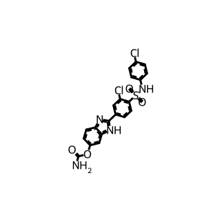 NC(=O)Oc1ccc2nc(-c3ccc(S(=O)(=O)Nc4ccc(Cl)cc4)c(Cl)c3)[nH]c2c1